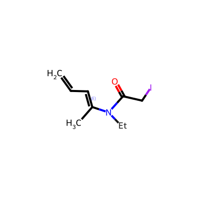 C=C/C=C(\C)N(CC)C(=O)CI